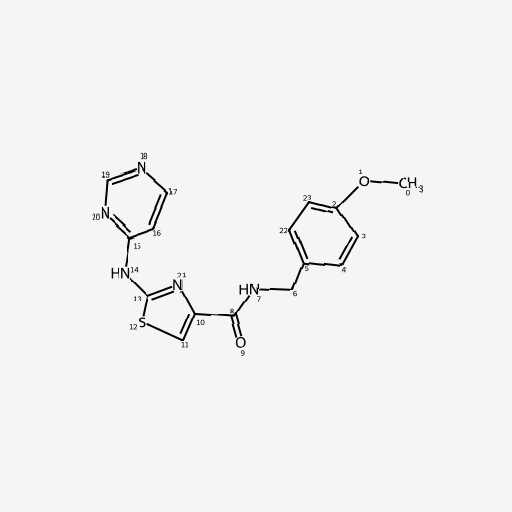 COc1ccc(CNC(=O)c2csc(Nc3ccncn3)n2)cc1